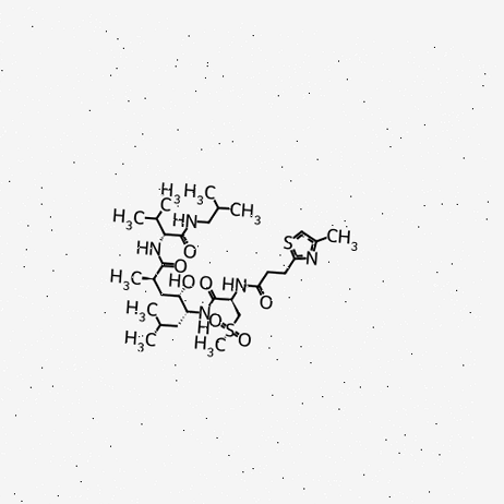 Cc1csc(CCC(=O)N[C@@H](CS(C)(=O)=O)C(=O)N[C@H](CC(C)C)[C@@H](O)C[C@@H](C)C(=O)N[C@@H](C(=O)NCC(C)C)C(C)C)n1